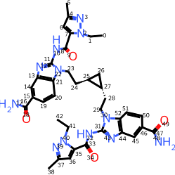 CCn1nc(C)cc1C(=O)Nc1nc2cc(C(N)=O)ccc2n1CC[C@H]1C[C@@H]1CCn1c(NC(=O)c2cc(C)nn2CC)nc2cc(C(N)=O)ccc21